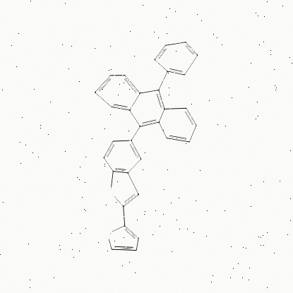 c1ccc(-c2c3ccccc3c(-c3ccc4sc(-c5ccco5)cc4c3)c3ccccc23)cc1